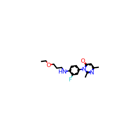 CCOCCCNc1ccc(-n2c(C)nc(C)cc2=O)cc1F